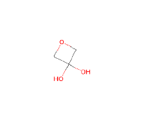 OC1(O)COC1